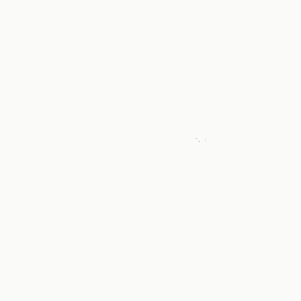 CNCCC(O)C=C(C)C